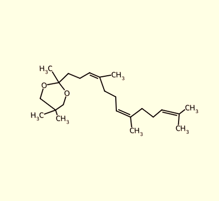 CC(C)=CCCC(C)=CCCC(C)=CCCC1(C)OCC(C)(C)CO1